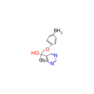 Bc1ccc(OCC(O)(c2cncnc2)C(C)(C)C)cc1